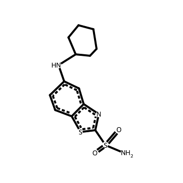 NS(=O)(=O)c1nc2cc(NC3CCCCC3)ccc2s1